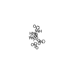 COc1cccc2[nH]c(C(=O)NC(CC(C)C)C(=O)NC(C[C@@H]3CCN(C(C)=O)C3=O)C(=O)COC(=O)N3CCCCC3)cc12